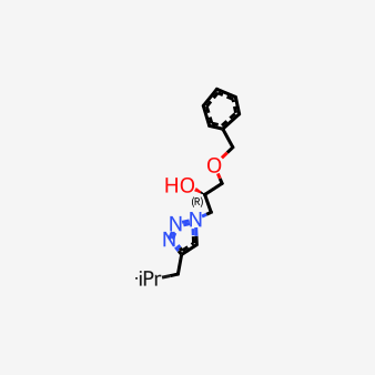 C[C](C)Cc1cn(C[C@@H](O)COCc2ccccc2)nn1